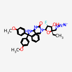 CC[C@@]1(CN=[N+]=[N-])O[C@@H](n2ccc(NC(c3ccccc3)(c3ccc(OC)cc3)c3ccc(OC)cc3)nc2=O)[C@H](F)[C@@H]1O